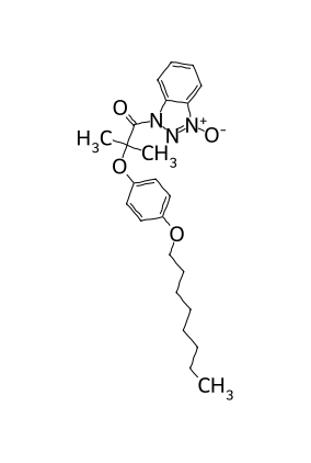 CCCCCCCCOc1ccc(OC(C)(C)C(=O)n2n[n+]([O-])c3ccccc32)cc1